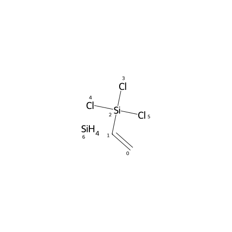 C=C[Si](Cl)(Cl)Cl.[SiH4]